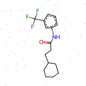 O=C(CCC1CCCCC1)Nc1cccc(C(F)(F)F)c1